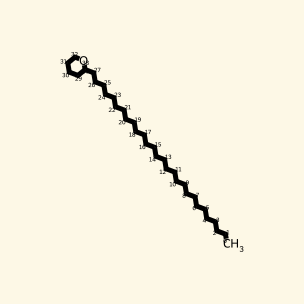 CCCCCCCCCCCCCCCCCCCCCCCCCCCCC1CCCCO1